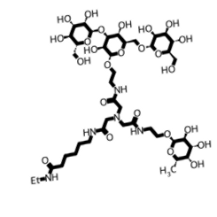 CCNC(=O)CCCCCNC(=O)CN(CC(=O)NCCO[C@@H]1O[C@@H](C)[C@@H](O)[C@@H](O)[C@@H]1O)CC(=O)NCCO[C@H]1O[C@H](CO[C@H]2O[C@H](CO)[C@@H](O)[C@H](O)[C@@H]2O)[C@@H](O)[C@H](O[C@H]2O[C@H](CO)[C@@H](O)[C@H](O)[C@@H]2O)[C@@H]1O